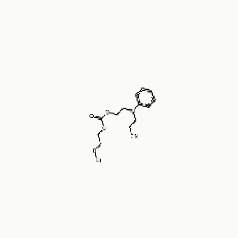 CCOCCOC(=O)OCCN(CCC#N)c1ccccc1